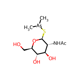 CC(=O)N[C@@H]1[C@@H](O)[C@H](O)[C@@H](CO)O[C@H]1S[As](C)C